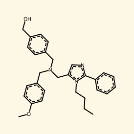 CCCCn1c(CN(Cc2ccc(CO)cc2)Cc2ccc(OC)cc2)cnc1-c1ccccc1